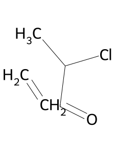 C=C.CC(Cl)C=O